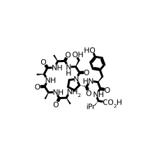 CC(C)[C@H](NC(=O)[C@H](Cc1ccc(O)cc1)NC(=O)[C@@H]1CCCN1C(=O)[C@H](CO)NC(=O)[C@H](C)NC(=O)[C@H](C)NC(=O)[C@H](C)NC(=O)[C@H](C)N)C(=O)O